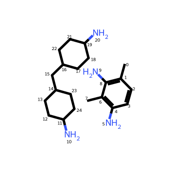 Cc1ccc(N)c(C)c1N.NC1CCC(CC2CCC(N)CC2)CC1